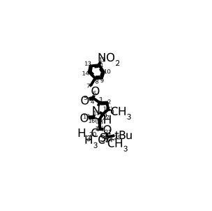 C[C@H]1C=C(C(=O)OCc2ccc([N+](=O)[O-])cc2)N2C(=O)[C@H]([C@@H](C)O[Si](C)(C)C(C)(C)C)[C@@H]12